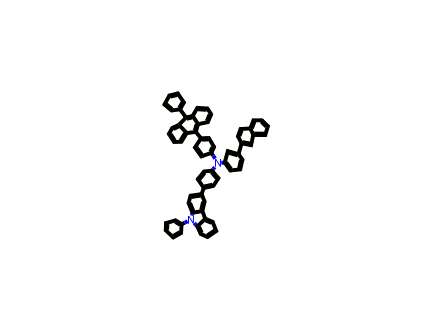 c1ccc(-c2c3ccccc3c(-c3ccc(N(c4ccc(-c5ccc6c(c5)c5ccccc5n6-c5ccccc5)cc4)c4cccc(-c5ccc6ccccc6c5)c4)cc3)c3ccccc23)cc1